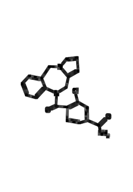 NC(=O)c1ccc(C(=O)N2Cc3cccn3Cc3ccccc32)c(Cl)c1